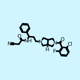 N#CCC(=O)NC(CCN1CC2CN(C(=O)c3c(F)cccc3Cl)C[C@@H]2C1)c1ccccc1